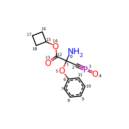 NC(C#P=O)(Oc1ccccc1)C(=O)OC1CCC1